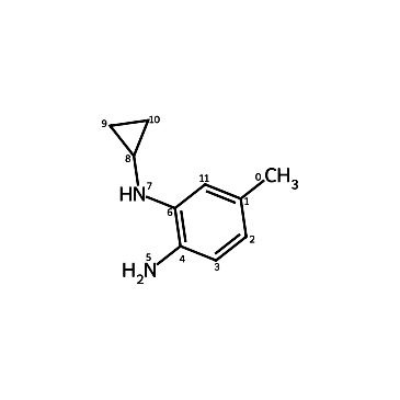 Cc1ccc(N)c(NC2CC2)c1